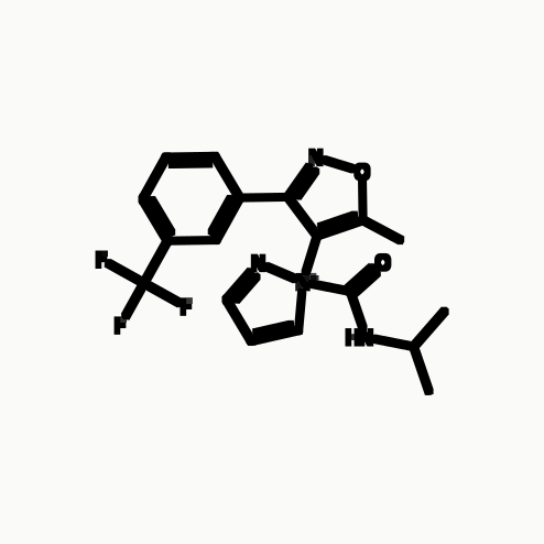 Cc1onc(-c2cccc(C(F)(F)F)c2)c1[N+]1(C(=O)NC(C)C)C=CC=N1